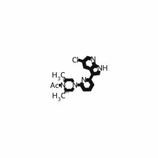 CC(=O)N1[C@H](C)CN(c2cccc(-c3c[nH]c4ncc(Cl)cc34)n2)C[C@@H]1C